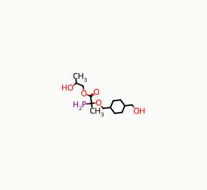 CC(O)COC(=O)C(C)(P)OCC1CCC(CO)CC1